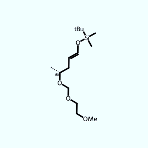 COCCOCO[C@H](C)CC=CO[Si](C)(C)C(C)(C)C